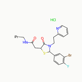 CC(C)CNC(=O)CC1SC(c2ccc(F)c(Br)c2)N(CCc2ccccn2)C1=O.Cl